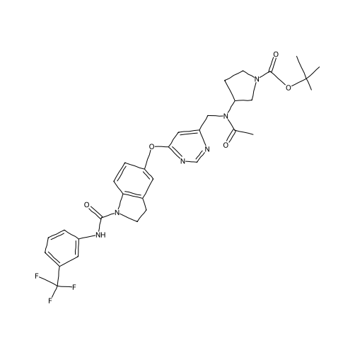 CC(=O)N(Cc1cc(Oc2ccc3c(c2)CCN3C(=O)Nc2cccc(C(F)(F)F)c2)ncn1)C1CCN(C(=O)OC(C)(C)C)C1